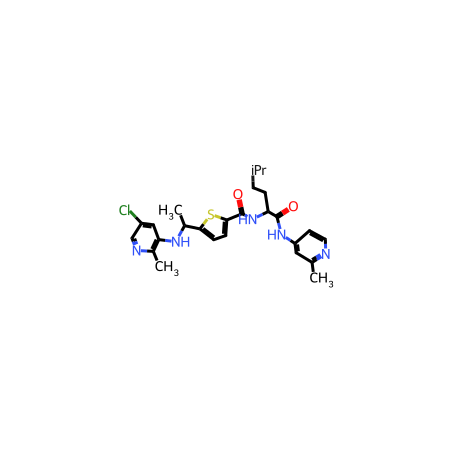 Cc1cc(NC(=O)C(CCC(C)C)NC(=O)c2ccc(C(C)Nc3cc(Cl)cnc3C)s2)ccn1